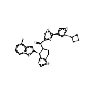 O=C(c1nnc(-c2cnn(C3CCC3)c2)o1)N1CCc2[nH]cnc2[C@H]1c1cc2c(F)cccn2n1